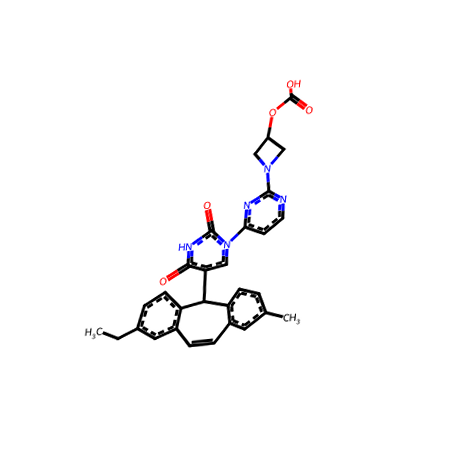 CCc1ccc2c(c1)C=Cc1cc(C)ccc1C2c1cn(-c2ccnc(N3CC(OC(=O)O)C3)n2)c(=O)[nH]c1=O